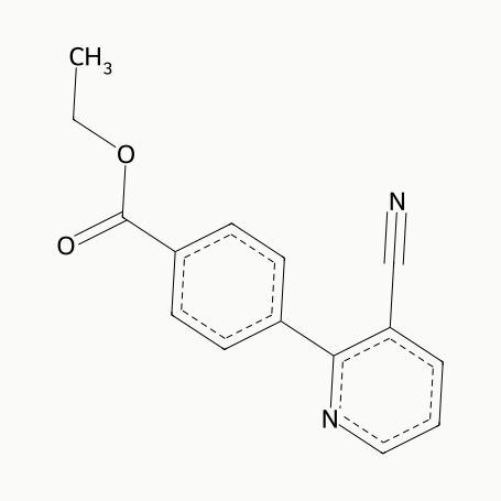 CCOC(=O)c1ccc(-c2ncccc2C#N)cc1